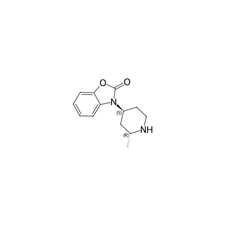 C[C@@H]1C[C@@H](n2c(=O)oc3ccccc32)CCN1